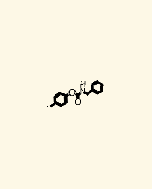 [CH2]c1ccc(OC(=O)NCc2ccccc2)cc1